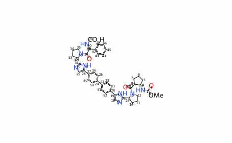 COC(=O)N[C@H]1CCC[C@@H]1C(=O)N1CCC[C@H]1c1ncc(-c2ccc(-c3ccc(-c4cnc([C@@H]5CCCN5C(=O)[C@H](NC(=O)O)c5ccccc5)[nH]4)cc3)cc2)[nH]1